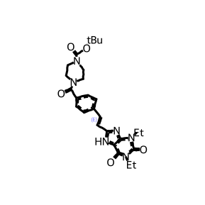 CCn1c(=O)c2[nH]c(/C=C/c3ccc(C(=O)N4CCN(C(=O)OC(C)(C)C)CC4)cc3)nc2n(CC)c1=O